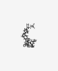 CN(C)CCNc1cnc(-n2ccc3cc(N(CC(=O)OC(C)(C)C)S(=O)(=O)c4cc(Br)cc(Br)c4)ccc32)cn1